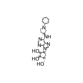 OC[C@H]1C[C@@H](n2cnc3c(N[C@H]4CCN(c5ccccc5)C4)ncnc32)[C@H](O)[C@@H]1O